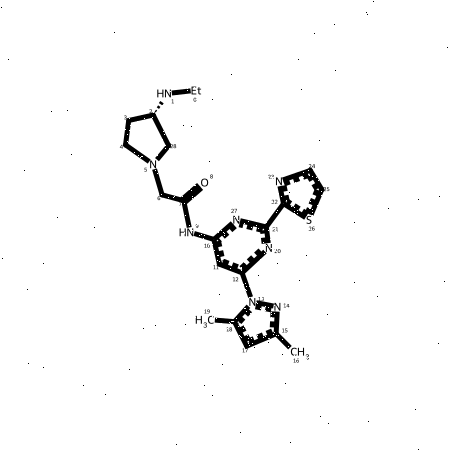 CCN[C@H]1CCN(CC(=O)Nc2cc(-n3nc(C)cc3C)nc(-c3nccs3)n2)C1